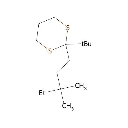 CCC(C)(C)CCC1(C(C)(C)C)SCCCS1